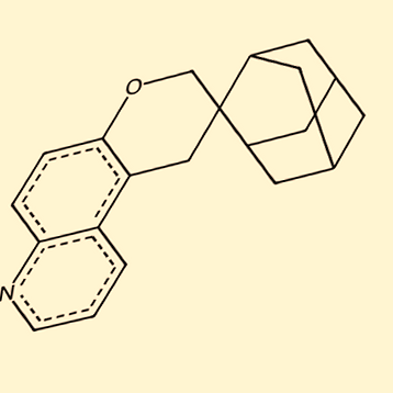 c1cnc2ccc3c(c2c1)CC1(CO3)C2CC3CC(C2)CC1C3